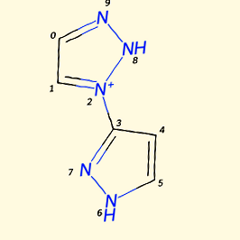 c1c[n+](-c2cc[nH]n2)[nH]n1